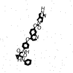 O=C(Oc1ccc2c(Oc3ccc(NC(=O)C4(C(=O)Nc5ccccc5)CC4)cc3)ccnc2c1)N1Cc2c[nH]nc2C1